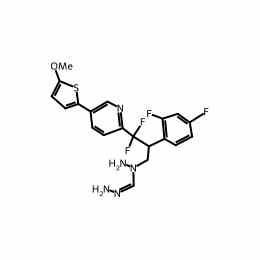 COc1ccc(-c2ccc(C(F)(F)C(CN(N)/C=N\N)c3ccc(F)cc3F)nc2)s1